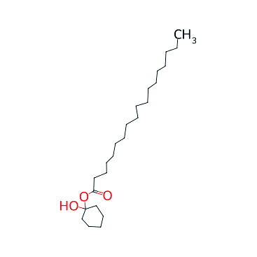 CCCCCCCCCCCCCCCCCC(=O)OC1(O)CCCCC1